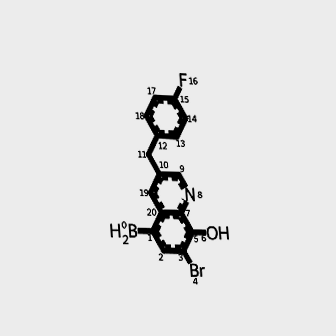 Bc1cc(Br)c(O)c2ncc(Cc3ccc(F)cc3)cc12